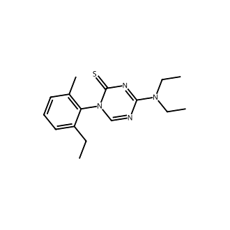 CCc1cccc(C)c1-n1cnc(N(CC)CC)nc1=S